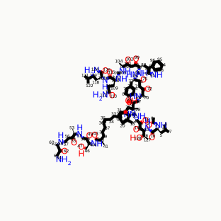 CC(=O)N[C@@H](CC(C)C)C(=O)N[C@H](C(=O)C(=O)[C@H](Cc1ccccc1)NN[C@](C)(CCCCCC/C=C\CCC[C@@H](C)C(=O)N[C@@H](CO)C(=O)CN[C@@H](C)C(=O)CCN[C@@H](C)C(=O)CN)C(=O)CN[C@@H](C)C(=O)CC(=O)[C@H](Cc1ccc(O)cc1)NN[C@@H](Cc1c[nH]c2ccccc12)C(=O)CC(=O)[C@H](C)NCN[C@@H](CCC(N)=O)C(=O)N[C@@H](CCC(C)C)C(N)=O)[C@@H](C)O